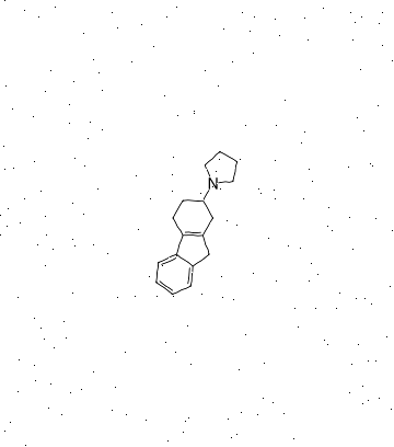 c1ccc2c(c1)CC1=C2CCC(N2CCCC2)C1